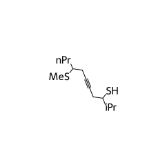 CCCC(CC#CCC(S)C(C)C)SC